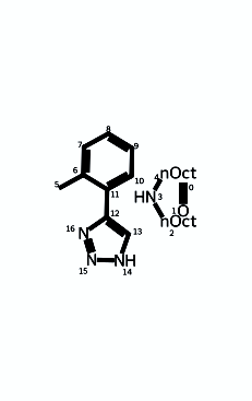 C=O.CCCCCCCCNCCCCCCCC.Cc1ccccc1-c1c[nH]nn1